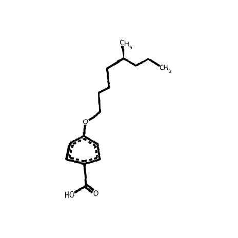 CCC[C@H](C)CCCCOc1ccc(C(=O)O)cc1